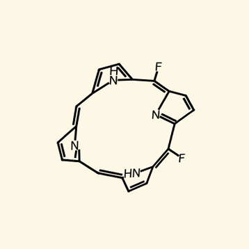 Fc1c2nc(c(F)c3ccc(cc4nc(cc5ccc1[nH]5)C=C4)[nH]3)C=C2